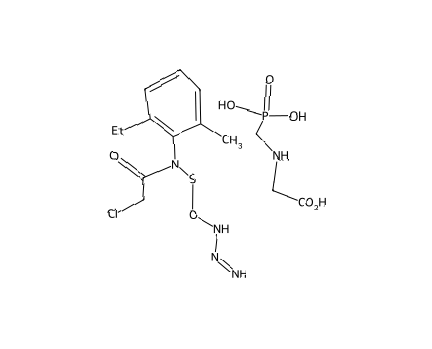 CCc1cccc(C)c1N(SONN=N)C(=O)CCl.O=C(O)CNCP(=O)(O)O